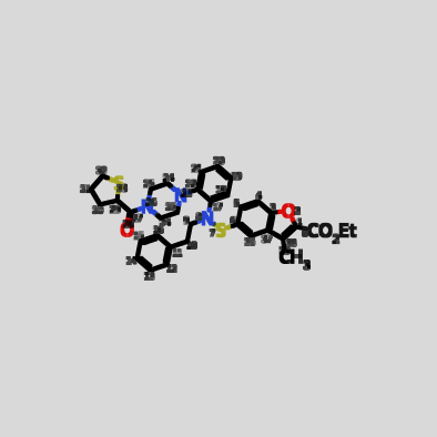 CCOC(=O)c1oc2ccc(SN(CCc3ccccc3)c3ccccc3N3CCN(C(=O)C4CCCS4)CC3)cc2c1C